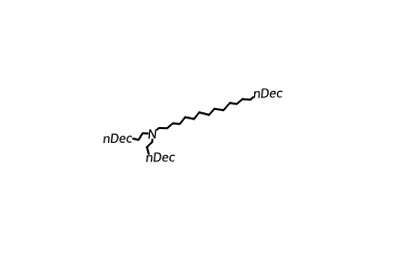 CCCCCCCCCCCCCCCCCCCCCCCCN(CCCCCCCCCCCC)CCCCCCCCCCCC